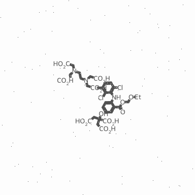 CCOCOC(=O)c1ccccc1Nc1c(Cl)ccc(C)c1Cl.O=C(O)CC(O)(CC(=O)O)C(=O)O.O=C(O)CN(CCN(CC(=O)O)CC(=O)O)CC(=O)O